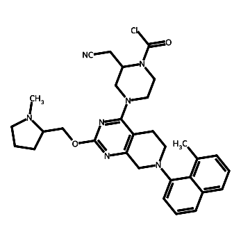 Cc1cccc2cccc(N3CCc4c(nc(OCC5CCCN5C)nc4N4CCN(C(=O)Cl)C(CC#N)C4)C3)c12